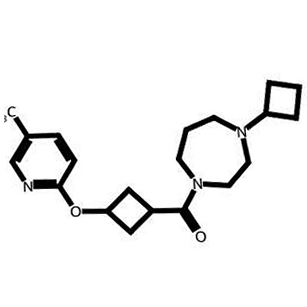 O=C(C1CC(Oc2ccc(C(F)(F)F)cn2)C1)N1CCCN(C2CCC2)CC1